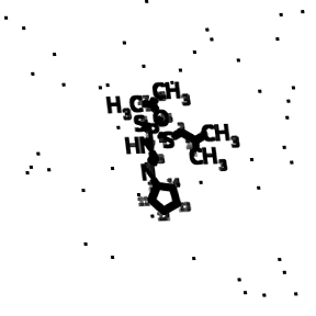 CC(C)CSP(=S)(NC=NC1CCCC1)OC(C)C